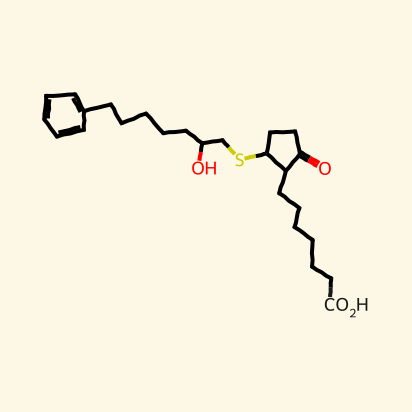 O=C(O)CCCCCCC1C(=O)CCC1SCC(O)CCCCCc1ccccc1